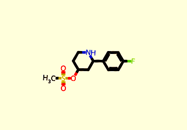 CS(=O)(=O)OC1CCNC(c2ccc(F)cc2)C1